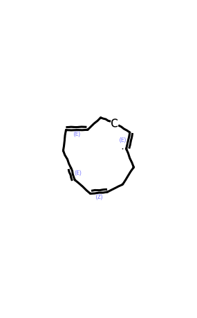 [C]1=C/CC/C=C/C/C=C/C=C\CC/1